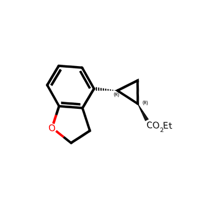 CCOC(=O)[C@@H]1C[C@H]1c1cccc2c1CCO2